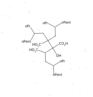 CCCCCC(CCC)CC(C(=O)O)C(O)(C(=O)O)C(CC(CCC)CCCCC)(CC(CCC)CCCCC)C(=O)O